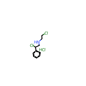 Cl.ClCCNCC(Cl)c1ccccc1